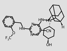 N#Cc1cnc(NCc2ccccc2OC(F)(F)F)nc1NC[C@]12CC3CC(C1)C(N[C@H]1CC[C@H](O)CC1)[C@H](C3)C2